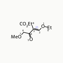 CCO/C=C(/C(=O)COC)C(=O)OCC